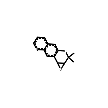 CC1(C)Oc2cc3cccnc3cc2C2OC21